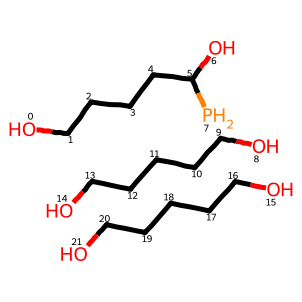 OCCCCC(O)P.OCCCCCO.OCCCCCO